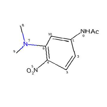 CC(=O)Nc1ccc([N+](=O)[O-])c(N(C)C)c1